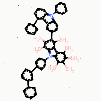 Bc1c(B)c(B)c2c(c1B)c1c(B)c(-c3ccc4c(c3)c3c(-c5ccccc5)cccc3n4-c3ccccc3)c(B)c(B)c1n2-c1ccc(-c2cccc(-c3ccccc3)c2)cc1